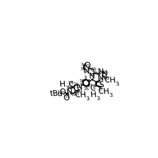 Cc1sc2c(c1C)C(c1ccc(N3C[C@]4(C)CN(C(=O)OC(C)(C)C)C[C@]4(C)C3)cc1)=N[C@@H](Cc1ncco1)c1nnc(C)n1-2